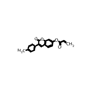 C=CC(=O)Oc1ccc2cc(-c3ccc(C)cc3)c(=O)oc2c1